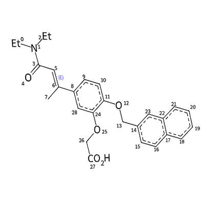 CCN(CC)C(=O)/C=C(\C)c1ccc(OCc2ccc3ccccc3c2)c(OCC(=O)O)c1